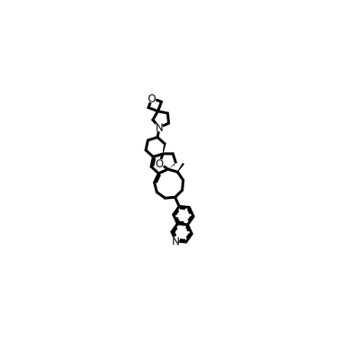 C[C@H]1CCC(c2ccc3ccncc3c2)CC/C=C2/C=C3CCC(N4CCC5(COC5)C4)C[C@]34CC[C@@]21O4